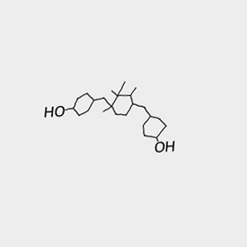 CC1C(CC2CCC(O)CC2)CCC(C)(CC2CCC(O)CC2)C1(C)C